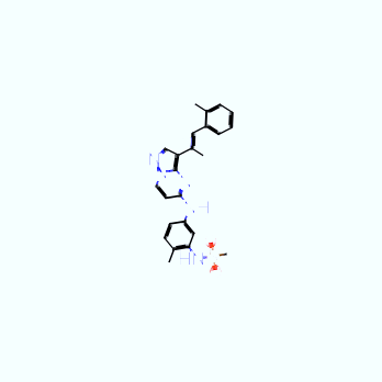 C/C(=C\c1ccccc1C)c1cnn2ccc(Nc3ccc(C)c(NS(C)(=O)=O)c3)nc12